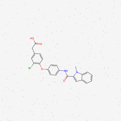 Cn1c(C(=O)Nc2ccc(Oc3ccc(CC(=O)O)cc3Br)cc2)cc2ccccc21